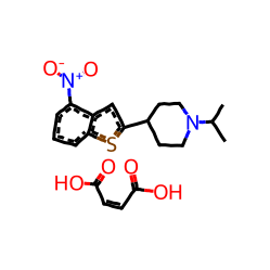 CC(C)N1CCC(c2cc3c([N+](=O)[O-])cccc3s2)CC1.O=C(O)/C=C\C(=O)O